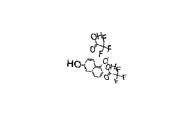 O=C(O)C(F)(F)F.O=C(O)C(F)(F)F.Oc1ccc2c(Cl)cccc2c1